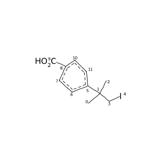 CC(C)(CI)c1ccc(C(=O)O)cc1